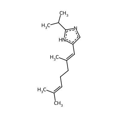 CC(C)=CCC/C(C)=C/c1cnc(C(C)C)[nH]1